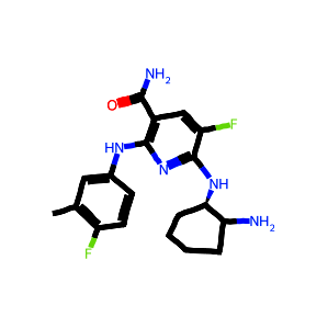 Cc1cc(Nc2nc(N[C@@H]3CCCCC3N)c(F)cc2C(N)=O)ccc1F